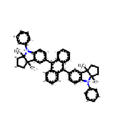 CC12CCCC1(C)N(c1ccccc1)c1ccc(-c3c4ccccc4c(-c4ccc5c(c4)C4(C)CCCC4(C)N5c4ccccc4)c4ccccc34)cc12